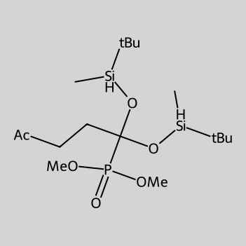 COP(=O)(OC)C(CCC(C)=O)(O[SiH](C)C(C)(C)C)O[SiH](C)C(C)(C)C